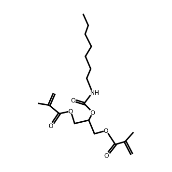 C=C(C)C(=O)OCC(COC(=O)C(=C)C)OC(=O)NCCCCCCC